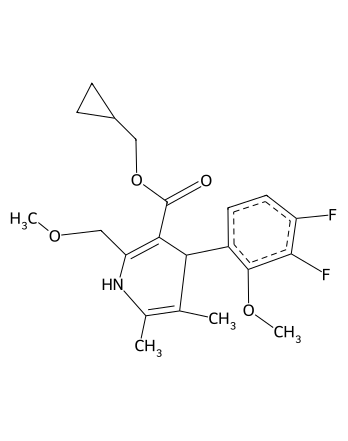 COCC1=C(C(=O)OCC2CC2)C(c2ccc(F)c(F)c2OC)C(C)=C(C)N1